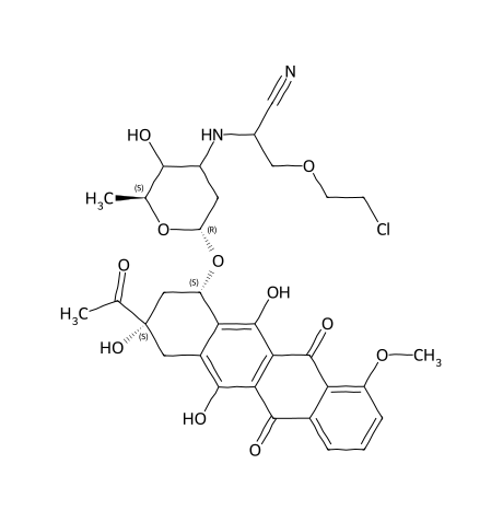 COc1cccc2c1C(=O)c1c(O)c3c(c(O)c1C2=O)C[C@@](O)(C(C)=O)C[C@@H]3O[C@H]1CC(NC(C#N)COCCCl)C(O)[C@H](C)O1